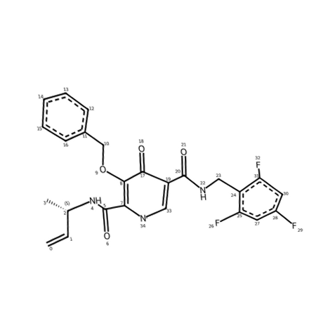 C=C[C@H](C)NC(=O)C1=C(OCc2ccccc2)C(=O)C(C(=O)NCc2c(F)cc(F)cc2F)=C[N]1